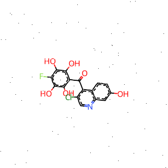 O=C(c1c(O)c(O)c(F)c(O)c1O)c1c(Cl)cnc2cc(O)ccc12